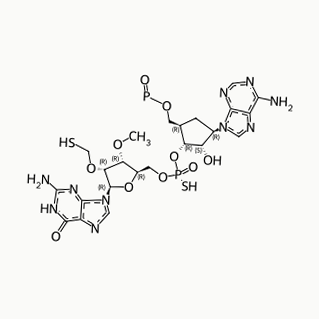 CO[C@H]1[C@@H](OCS)[C@H](n2cnc3c(=O)[nH]c(N)nc32)O[C@@H]1COP(=O)(S)O[C@@H]1[C@@H](COP=O)C[C@@H](n2cnc3c(N)ncnc32)[C@@H]1O